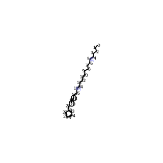 CCCC/C=C/CCCCCCCC/C=C/CCOCOCc1ccccc1